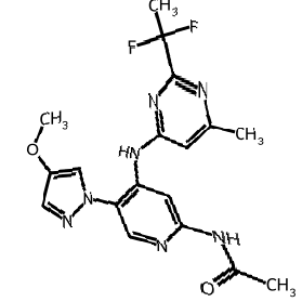 COc1cnn(-c2cnc(NC(C)=O)cc2Nc2cc(C)nc(C(C)(F)F)n2)c1